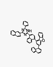 c1ccc(C2N=C(c3ccc4ccccc4c3)N=C(c3ccc(-c4cc(-c5cccc6ccccc56)cc5oc6ccccc6c45)c4ccccc34)N2)cc1